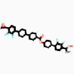 CCCC(O)c1ccc(C2CCC(OC(=O)C3CCC(C4CCC(c5ccc(C6CO6)c(F)c5F)CC4)CC3)CC2)c(F)c1F